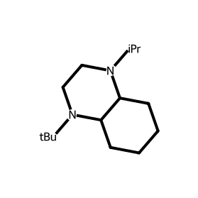 CC(C)N1CCN(C(C)(C)C)C2CCCCC21